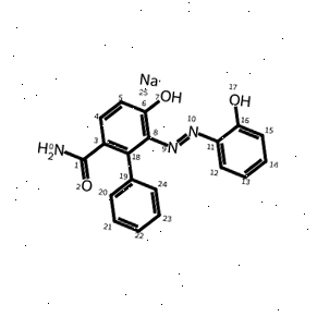 NC(=O)c1ccc(O)c(N=Nc2ccccc2O)c1-c1ccccc1.[Na]